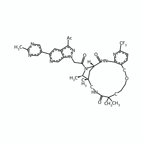 CC(=O)c1nn(CC(=O)N2[C@H]3C[C@](C)(CNC(=O)C(C)(C)CCCOCc4ccc(C(F)(F)F)nc4NC3=O)[C@H]2C)c2cnc(-c3cnc(C)nc3)cc12